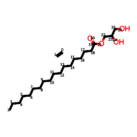 C=C.CCCCCCCCCCCCCCCCCC(=O)OCC(O)CO